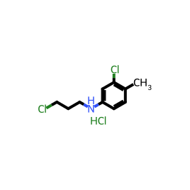 Cc1ccc(NCCCCl)cc1Cl.Cl